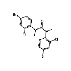 CC(C(=O)C(C)c1ccc(Br)cc1Cl)c1ccc(Br)cc1Cl